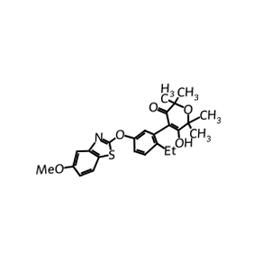 CCc1ccc(Oc2nc3cc(OC)ccc3s2)cc1C1=C(O)C(C)(C)OC(C)(C)C1=O